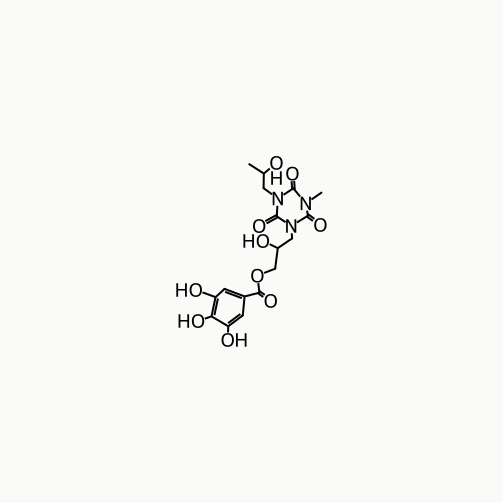 CC(O)Cn1c(=O)n(C)c(=O)n(CC(O)COC(=O)c2cc(O)c(O)c(O)c2)c1=O